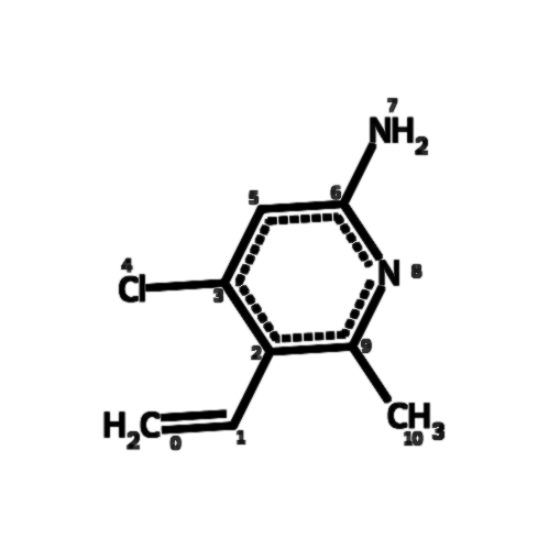 C=Cc1c(Cl)cc(N)nc1C